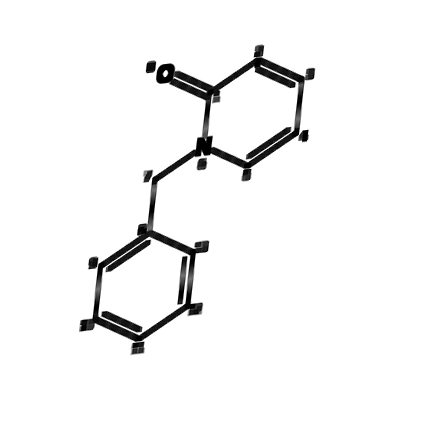 O=c1[c]cccn1Cc1ccccc1